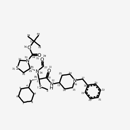 CS[C@](CC1CCCCC1)(C(=O)NC1CCN(Cc2ccccc2)CC1)N(C=O)[C@@H]1CSCN1C(=O)OC(C)(C)C